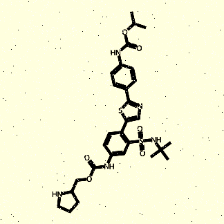 CC(C)OC(=O)Nc1ccc(-c2ncc(-c3ccc(NC(=O)OCC4CCCN4)cc3S(=O)(=O)NC(C)(C)C)s2)cc1